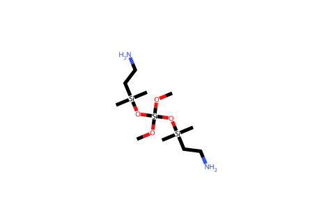 CO[Si](OC)(O[Si](C)(C)CCN)O[Si](C)(C)CCN